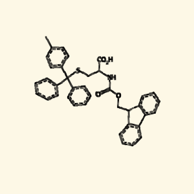 Cc1ccc(C(SCC(NC(=O)OCC2c3ccccc3-c3ccccc32)C(=O)O)(c2ccccc2)c2ccccc2)cc1